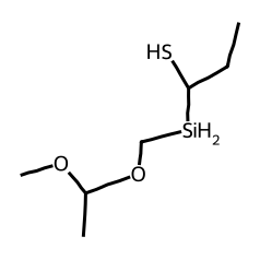 CCC(S)[SiH2]COC(C)OC